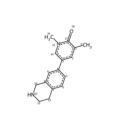 Cc1cc(-c2ccc3c(c2)CNCC3)cn(C)c1=O